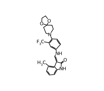 Cc1cccc2c1C(=CNc1ccc(N3CCC4(CC3)OCCO4)c(C(F)(F)F)c1)C(=O)N2